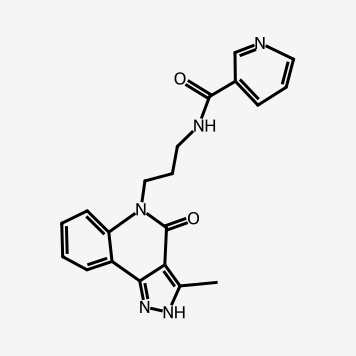 Cc1[nH]nc2c1c(=O)n(CCCNC(=O)c1cccnc1)c1ccccc21